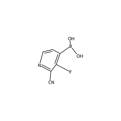 N#Cc1nccc(B(O)O)c1F